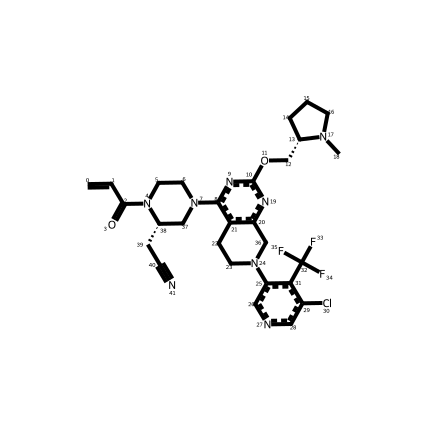 C=CC(=O)N1CCN(c2nc(OC[C@@H]3CCCN3C)nc3c2CCN(c2cncc(Cl)c2C(F)(F)F)C3)C[C@@H]1CC#N